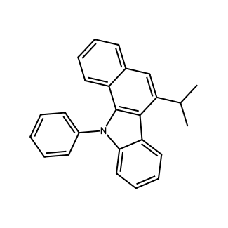 CC(C)c1cc2ccccc2c2c1c1ccccc1n2-c1ccccc1